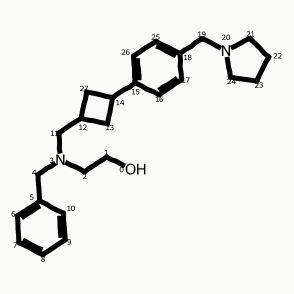 OCCN(Cc1ccccc1)CC1CC(c2ccc(CN3CCCC3)cc2)C1